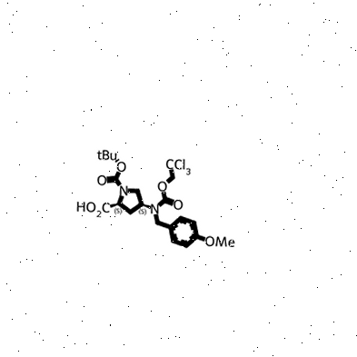 COc1ccc(CN(C(=O)OCC(Cl)(Cl)Cl)[C@H]2C[C@@H](C(=O)O)N(C(=O)OC(C)(C)C)C2)cc1